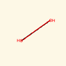 OCCCCCCCCCCCCCCCCCCCCCCCCCCCCCCCCCCCCCCCCCCCCCCCCCCCCCCCCCCCCO